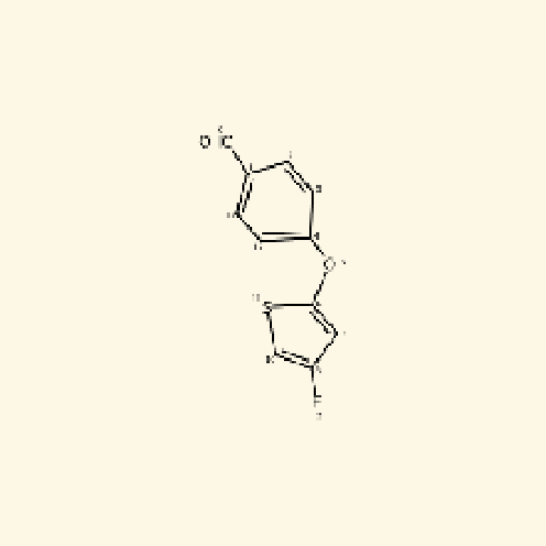 O=Cc1ccc(Oc2cc(F)cs2)cc1